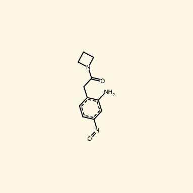 Nc1cc(N=O)ccc1CC(=O)N1CCC1